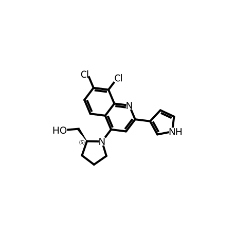 OC[C@@H]1CCCN1c1cc(-c2cc[nH]c2)nc2c(Cl)c(Cl)ccc12